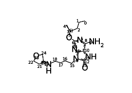 CCC[C@H](C)Oc1nc(N)c2[nH]c(=O)n(CCCCN[C@H]3CCOC3)c2n1